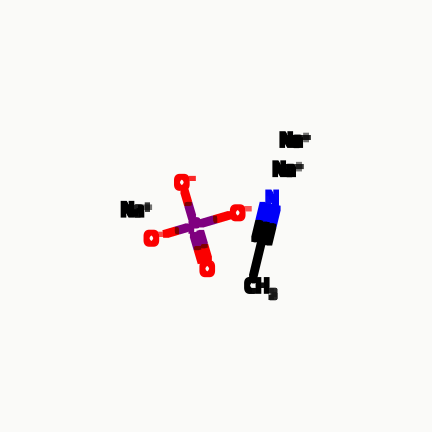 CC#N.O=P([O-])([O-])[O-].[Na+].[Na+].[Na+]